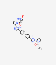 C[CH]C(=O)N1CCC[C@H]1c1ncc(-c2ccc(-c3ccc(-c4cnc([C@@H]5CCCN5C(=O)[C@@H]5CC(=O)N5)[nH]4)cc3)cc2)[nH]1